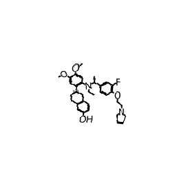 CCN(c1cc(OC)c(OC)cc1[C@@H]1CCc2cc(O)ccc2C1)C(C)c1ccc(OCCN2CCCC2)c(F)c1